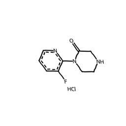 Cl.O=C1CNCCN1c1ncccc1F